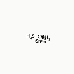 B.C.[CH2]=[Sn].[SiH4]